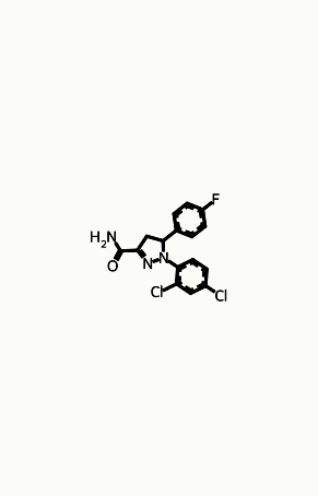 NC(=O)C1=NN(c2ccc(Cl)cc2Cl)C(c2ccc(F)cc2)C1